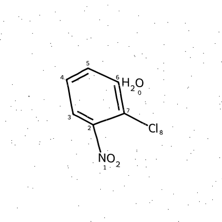 O.O=[N+]([O-])c1ccccc1Cl